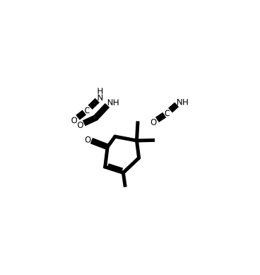 CC1=CC(=O)CC(C)(C)C1.N=C=O.N=C=O.N=C=O